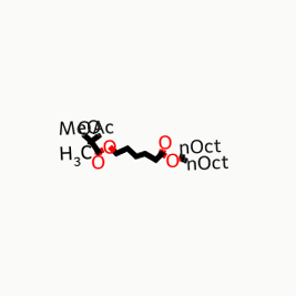 CCCCCCCCC(CCCCCCCC)OC(=O)CCCCCOC(=O)C(C)(COC)COC(C)=O